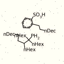 CCCCCCCCCCCCC(CCCCCC)C(P)(CCCCCC)CCCCCC.CCCCCCCCCCCCc1ccccc1S(=O)(=O)O